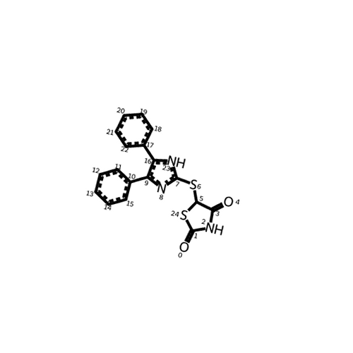 O=C1NC(=O)C(Sc2nc(-c3ccccc3)c(-c3ccccc3)[nH]2)S1